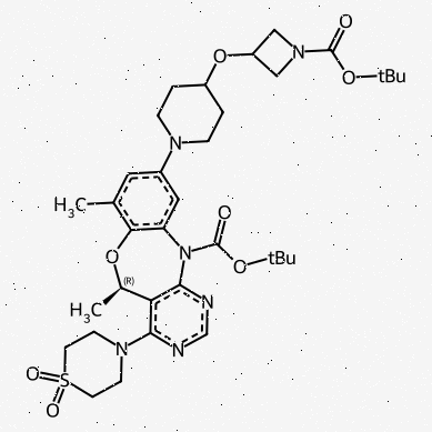 Cc1cc(N2CCC(OC3CN(C(=O)OC(C)(C)C)C3)CC2)cc2c1O[C@H](C)c1c(N3CCS(=O)(=O)CC3)ncnc1N2C(=O)OC(C)(C)C